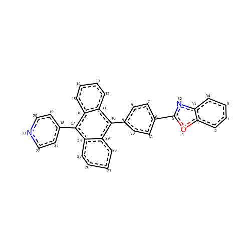 c1ccc2oc(-c3ccc(-c4c5ccccc5c(-c5ccncc5)c5ccccc45)cc3)nc2c1